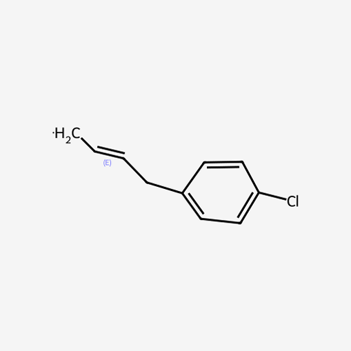 [CH2]/C=C/Cc1ccc(Cl)cc1